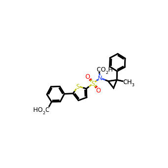 CC1(c2ccccc2)CC1N(C(=O)O)S(=O)(=O)c1ccc(-c2cccc(C(=O)O)c2)s1